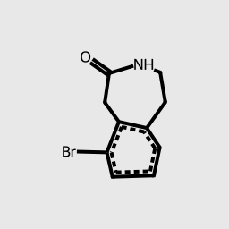 O=C1Cc2c(Br)cccc2CCN1